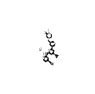 Cl.N#Cc1ccnc(Nc2cc(C3CC3)cc(-c3cncc(CN4CCNC(=O)C4)c3)n2)c1